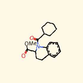 COC(=O)C1CCc2ccccc2N1C(=O)C1CCCCC1